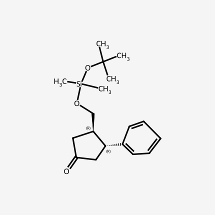 CC(C)(C)O[Si](C)(C)OC[C@@H]1CC(=O)C[C@H]1c1ccccc1